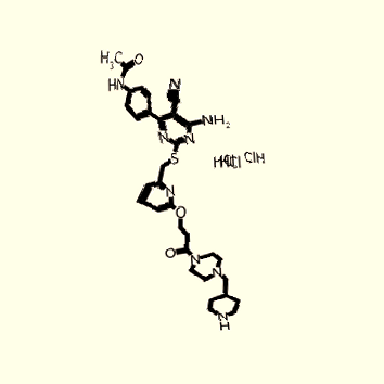 CC(=O)Nc1ccc(-c2nc(SCc3cccc(OCCC(=O)N4CCN(CC5CCNCC5)CC4)n3)nc(N)c2C#N)cc1.Cl.Cl.Cl